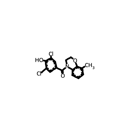 Cc1cccc2c1OCCN2C(=O)c1cc(Cl)c(O)c(Cl)c1